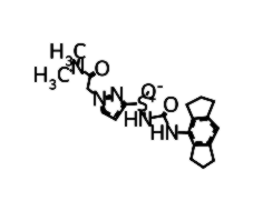 CN(C)C(=O)Cn1ccc([S+]([O-])NC(=O)Nc2c3c(cc4c2CCC4)CCC3)n1